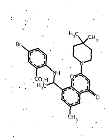 Cc1cc(C(C)Nc2ccc(Br)cc2C(=O)O)c2oc(N3CCC(C)(C)CC3)cc(=O)c2c1